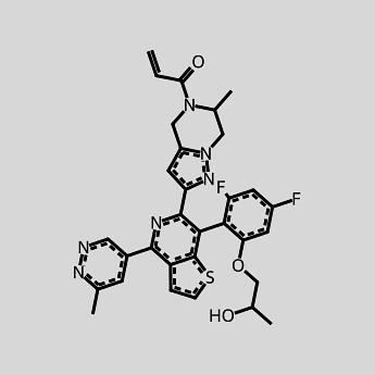 C=CC(=O)N1Cc2cc(-c3nc(-c4cnnc(C)c4)c4ccsc4c3-c3c(F)cc(F)cc3OCC(C)O)nn2CC1C